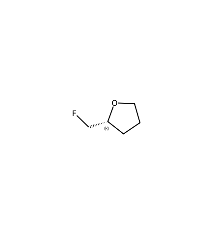 FC[C@H]1CCCO1